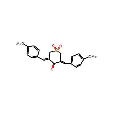 COc1ccc(C=C2CS(=O)(=O)CC(=Cc3ccc(OC)cc3)C2=O)cc1